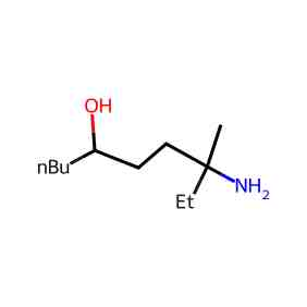 CCCCC(O)CCC(C)(N)CC